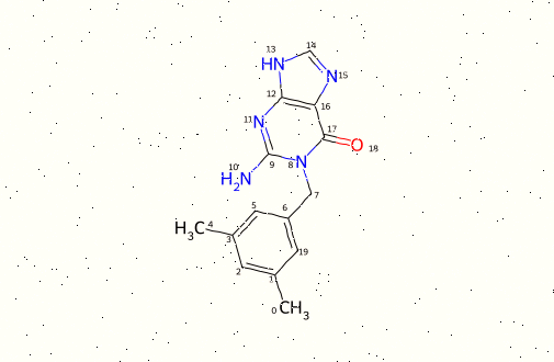 Cc1cc(C)cc(Cn2c(N)nc3[nH]cnc3c2=O)c1